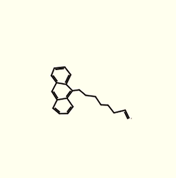 [CH]=CCCCCCCc1c2ccccc2cc2ccccc12